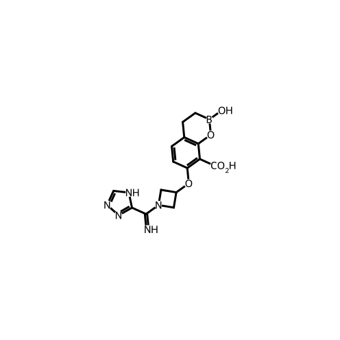 N=C(c1nnc[nH]1)N1CC(Oc2ccc3c(c2C(=O)O)OB(O)CC3)C1